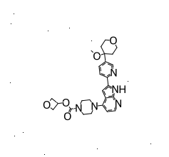 COC1(c2ccc(-c3cc4c(N5CCN(C(=O)OC6COC6)CC5)ccnc4[nH]3)nc2)CCOCC1